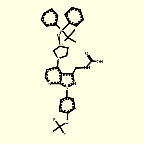 CC(C)(C)[Si](O[C@H]1CCN(c2ccnc3c2c(CNC(=O)O)nn3-c2ccc(OC(F)(F)F)cc2)C1)(c1ccccc1)c1ccccc1